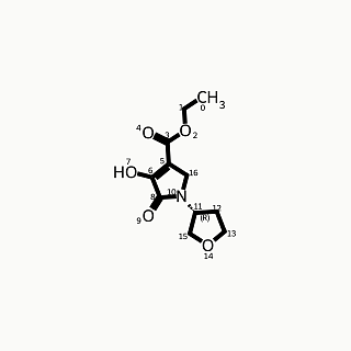 CCOC(=O)C1=C(O)C(=O)N([C@@H]2CCOC2)C1